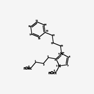 CCCCCCCCCCCCCc1n(CCCCCCCC)cc[n+]1CCCc1ccccc1